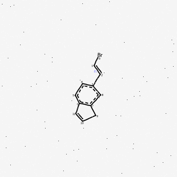 Br/C=C/c1ccc2c(c1)CC=C2